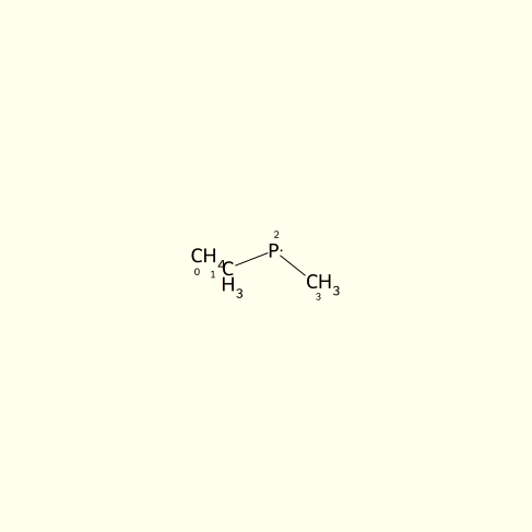 C.C[P]C